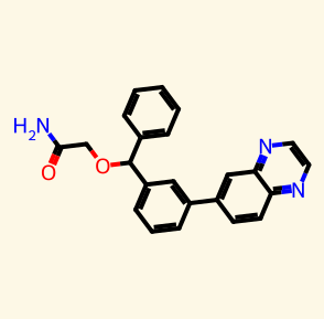 NC(=O)COC(c1ccccc1)c1cccc(-c2ccc3nccnc3c2)c1